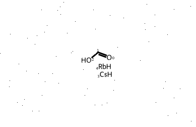 O=CO.[CsH].[RbH]